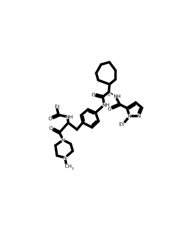 CCC(=O)NC(Cc1ccc(NC(=O)[C@@H](NC(=O)c2ccnn2CC)C2CCCCCC2)cc1)C(=O)N1CCN(C)CC1